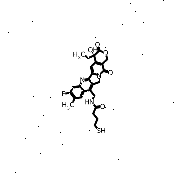 CC[C@@]1(O)C(=O)OCc2c1cc1n(c2=O)Cc2c-1nc1cc(F)c(C)cc1c2CNC(=O)CCCS